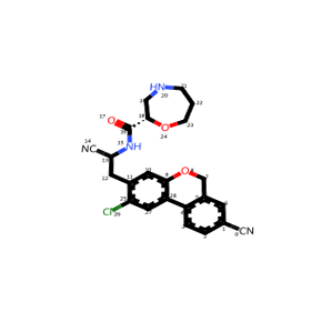 N#Cc1ccc2c(c1)COc1cc(CC(C#N)NC(=O)[C@@H]3CNCCCO3)c(Cl)cc1-2